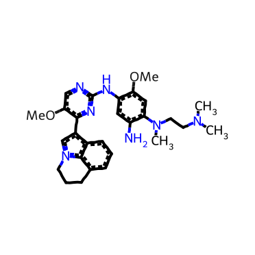 COc1cc(N(C)CCN(C)C)c(N)cc1Nc1ncc(OC)c(-c2cn3c4c(cccc24)CCC3)n1